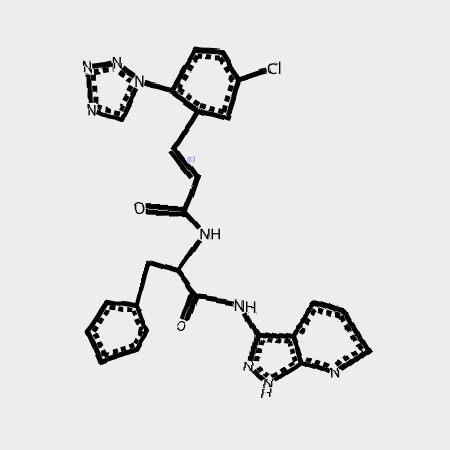 O=C(/C=C/c1cc(Cl)ccc1-n1cnnn1)NC(Cc1ccccc1)C(=O)Nc1n[nH]c2ncccc12